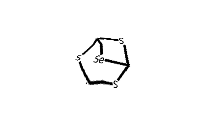 [CH]1SC2SC(S1)[Se]2